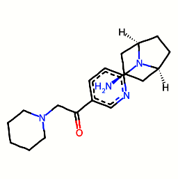 N[C@H]1C[C@H]2CC[C@@H](C1)N2c1ccc(C(=O)CN2CCCCC2)cn1